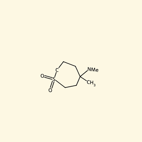 CNC1(C)CCCS(=O)(=O)CC1